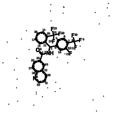 O=C(NC(c1ccc(C(F)(F)F)c(F)c1)c1ccccc1C(F)(F)F)c1ccc2ncccc2c1